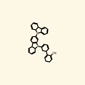 N#CC1=CCCC=C1C1C=CC=C(N2c3cc(N4c5ccccc5C5C=CC=CC54)ccc3C3C=CC=CC32)C1